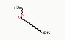 CCCCCCCCCCCCCCCCCCCCCCCCCC(=O)OCCCCCCCCCCCCCC